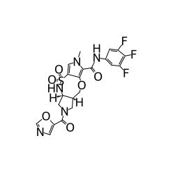 Cn1cc2c(c1C(=O)Nc1cc(F)c(F)c(F)c1)OC[C@@H]1CN(C(=O)c3cnco3)C[C@@H]1NS2(=O)=O